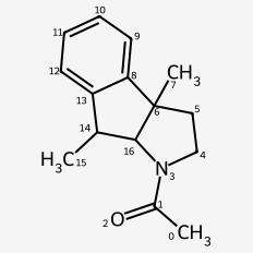 CC(=O)N1CCC2(C)c3ccccc3C(C)C12